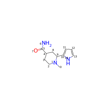 CN1CCC(C(N)=O)CC1c1ccc[nH]1